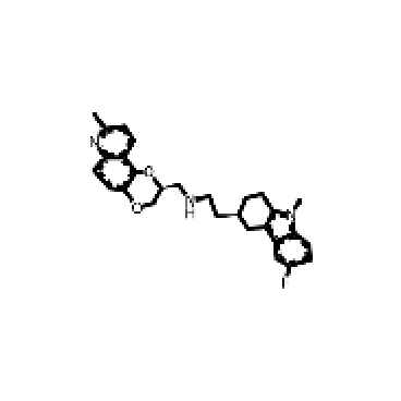 Cc1ccc2c3c(ccc2n1)OC[C@H](CNCC[C@H]1CCc2c(c4cc(F)ccc4n2C)C1)O3